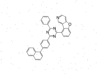 c1ccc(-c2nc(-c3ccc(-c4cccc5ccccc45)cc3)nc(-c3cccc4oc5ccncc5c34)n2)cc1